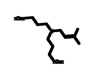 CCCCCCCCCCCCCN(CC=C(C)C)CCCCCCCCCCCCC